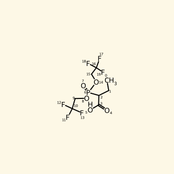 CCC(C(=O)O)P(=O)(OCC(F)(F)F)OCC(F)(F)F